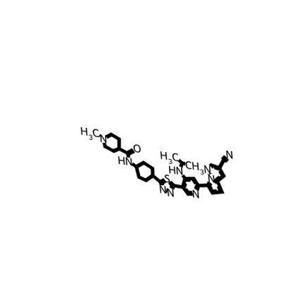 CC(C)Nc1cc(-c2ccc3cc(C#N)cnn23)ncc1-c1nnc(C2CCC(NC(=O)C3CCN(C)CC3)CC2)s1